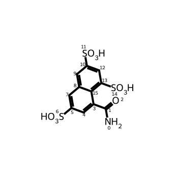 NC(=O)c1cc(S(=O)(=O)O)cc2cc(S(=O)(=O)O)cc(S(=O)(=O)O)c12